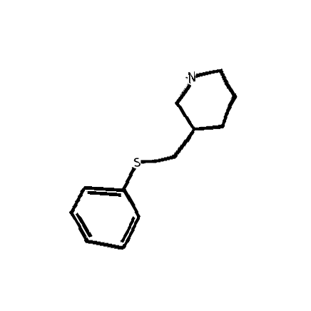 c1ccc(SCC2CCC[N]C2)cc1